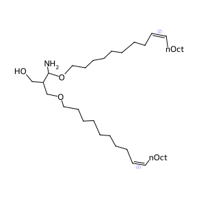 CCCCCCCC/C=C\CCCCCCCCOCC(CO)C(N)OCCCCCCCC/C=C\CCCCCCCC